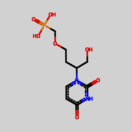 O=c1ccn(C(CO)CCOCP(=O)(O)O)c(=O)[nH]1